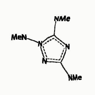 CNc1nc(NC)n(NC)n1